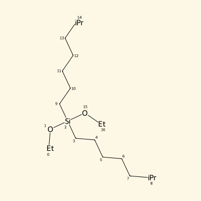 CCO[Si](CCCCCC(C)C)(CCCCCC(C)C)OCC